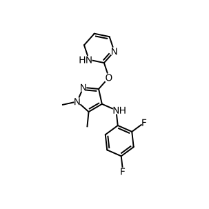 Cc1c(Nc2ccc(F)cc2F)c(OC2=NC=CCN2)nn1C